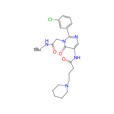 CC(C)(C)NC(=O)Cn1c(-c2cccc(Cl)c2)ncc(NC(=O)CCCN2CCCCC2)c1=O